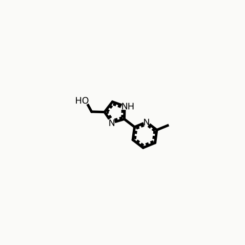 Cc1cccc(-c2nc(CO)c[nH]2)n1